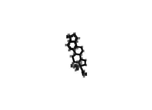 C#C[C@]1(O)CCC2C3CCc4c(ccc5[nH]ccc45)C3CC[C@@]21C